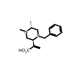 C=C(C(=O)O)[C@H]1CN(C)[C@H](C)CN1Cc1ccccc1